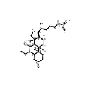 CC[C@@H]1C2C[C@H](O)CC[C@@]2(C)[C@H]2CC[C@]3(C)[C@@H]([C@H](C)CCCN[SH](=O)=O)CC[C@H]3C2[C@@H]1O